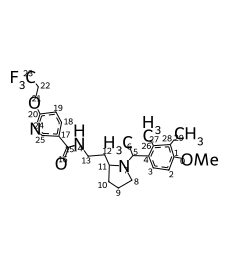 COc1ccc(C(C)N2CCCC2CCNC(=O)c2ccc(OCC(F)(F)F)nc2)c(C)c1C